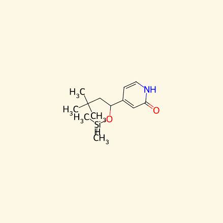 C[SiH](C)OC(CC(C)(C)C)c1cc[nH]c(=O)c1